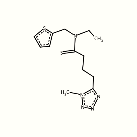 CCN(Cc1cccs1)C(=S)CCCc1nnnn1C